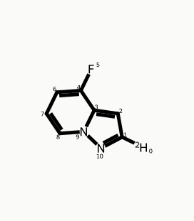 [2H]c1cc2c(F)cccn2n1